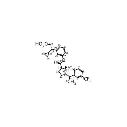 CC(c1cc(C(F)(F)F)ccc1C(F)(F)F)N1CCC(C(=O)Oc2cccc([C@@H](CC(=O)O)C3CC3)c2)C1